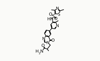 Cc1nc(C)c(S(=O)(=O)Nc2cc(-c3ccc4ncn(CC(C)C(N)=O)c(=O)c4c3)cnc2C)s1